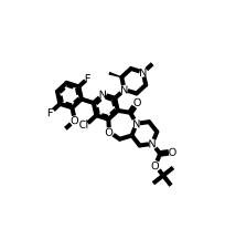 COc1c(F)ccc(F)c1-c1nc(N2CCN(C)C[C@@H]2C)c2c(c1Cl)OCC1CN(C(=O)OC(C)(C)C)CCN1C2=O